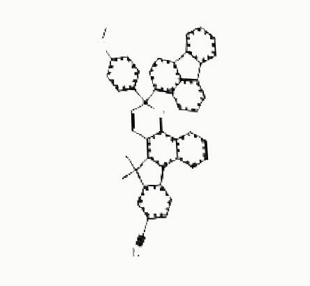 COc1ccc(C2(c3ccc4c5c(cccc35)-c3ccccc3-4)C=Cc3c4c(c5ccccc5c3O2)-c2ccc(C#N)cc2C4(C)C)cc1